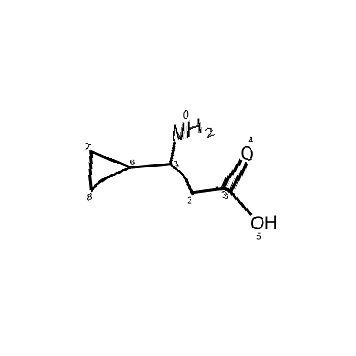 NC(CC(=O)O)C1CC1